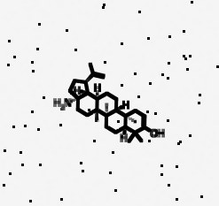 C=C(C)[C@@H]1CC[C@]2(N)CC[C@]3(C)[C@H](CC[C@@H]4[C@@]5(C)CC=C(O)C(C)(C)[C@@H]5CC[C@]43C)[C@@H]12